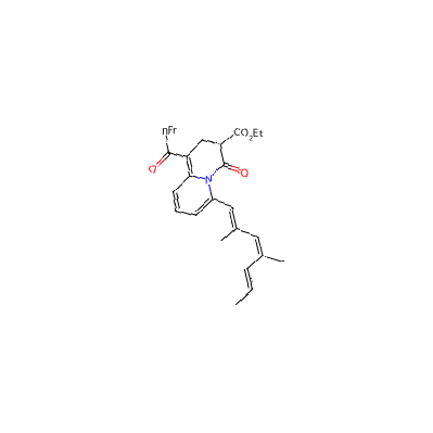 C/C=C/C(C)=C\C(C)=C\C1=CC=CC2=C(C(=O)CCC)CC(C(=O)OCC)C(=O)N12